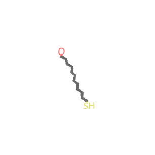 O=CCCCCCCCCCCCS